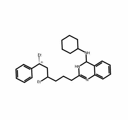 CCC(CCCC1=Nc2ccccc2C(NC2CCCCC2)N1)C[C@@H](CC)c1ccccc1